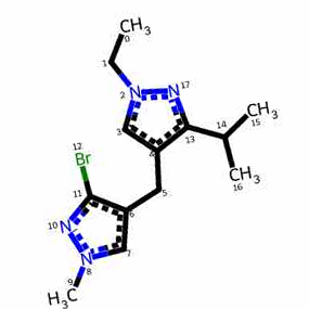 CCn1cc(Cc2cn(C)nc2Br)c(C(C)C)n1